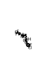 C=C(CCNC(=O)COc1ccc(Cl)c(F)c1)c1nnc([C@H]2C[C@H](C(F)(F)F)C2)o1